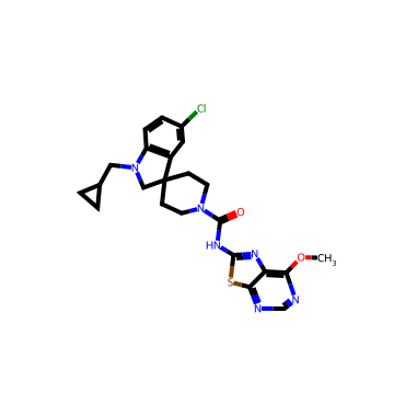 COc1ncnc2sc(NC(=O)N3CCC4(CC3)CN(CC3CC3)c3ccc(Cl)cc34)nc12